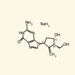 C=C1[C@H](CO)[C@@H](O)C[C@@H]1n1cnc2c(=O)[nH]c(N)nc21.[BaH2]